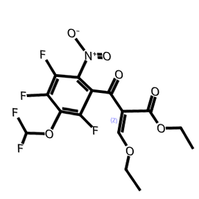 CCO/C=C(\C(=O)OCC)C(=O)c1c(F)c(OC(F)F)c(F)c(F)c1[N+](=O)[O-]